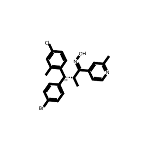 Cc1cc(C(=NO)C(C)[C@H](c2ccc(Br)cc2)c2ccc(Cl)cc2C)ccn1